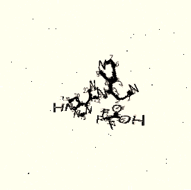 N#CCC(c1cccnc1)n1cc(-c2ncnc3[nH]ccc23)cn1.O=C(O)C(F)(F)F